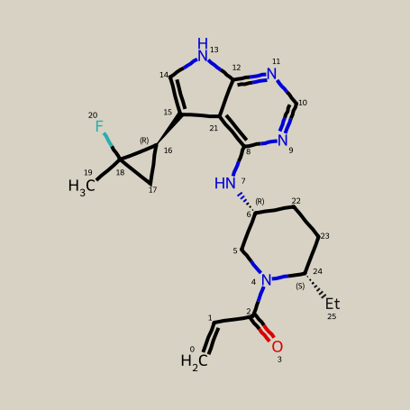 C=CC(=O)N1C[C@H](Nc2ncnc3[nH]cc([C@H]4CC4(C)F)c23)CC[C@@H]1CC